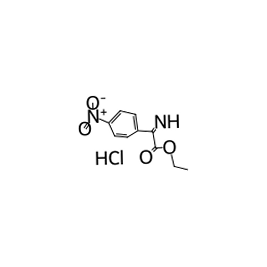 CCOC(=O)C(=N)c1ccc([N+](=O)[O-])cc1.Cl